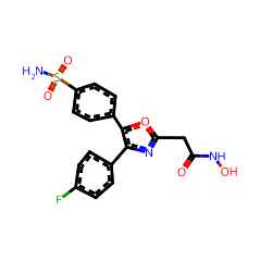 NS(=O)(=O)c1ccc(-c2oc(CC(=O)NO)nc2-c2ccc(F)cc2)cc1